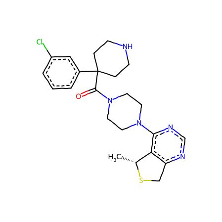 C[C@H]1SCc2ncnc(N3CCN(C(=O)C4(c5cccc(Cl)c5)CCNCC4)CC3)c21